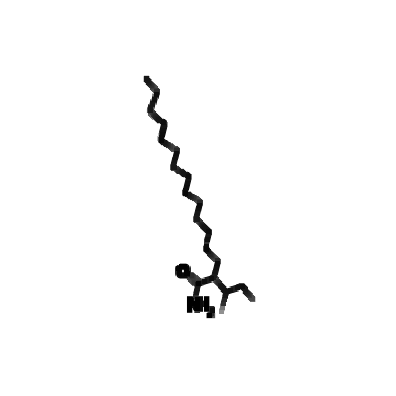 CCCCCCCCCCCCCCC(C(N)=O)C(C)CC